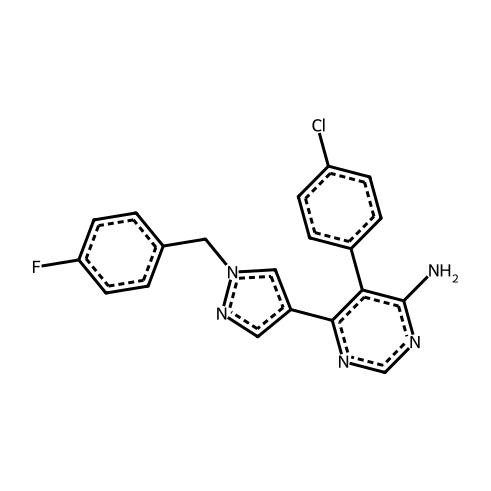 Nc1ncnc(-c2cnn(Cc3ccc(F)cc3)c2)c1-c1ccc(Cl)cc1